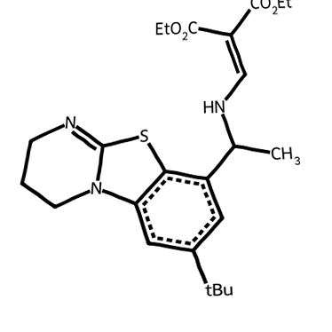 CCOC(=O)C(=CNC(C)c1cc(C(C)(C)C)cc2c1SC1=NCCCN12)C(=O)OCC